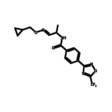 CC(C=NOCC1CC1)NC(=O)c1ccc(-c2noc(C(F)(F)F)n2)cc1